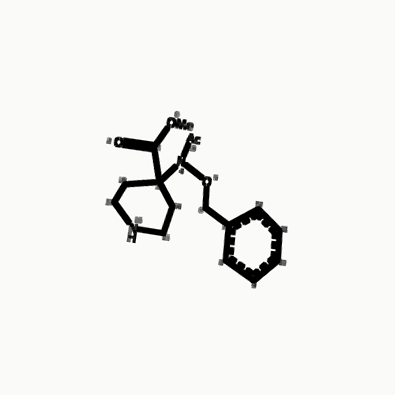 COC(=O)C1(N(OCc2ccccc2)C(C)=O)CCNCC1